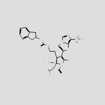 C[C@@H](O)[C@H]1C(=O)N2C(C(=O)O)=C(c3cn4cnc(S(C)(=O)=O)c4s3)[C@](C)(CCOC(=O)OC3Cc4ccccc4C3)[C@@H]12